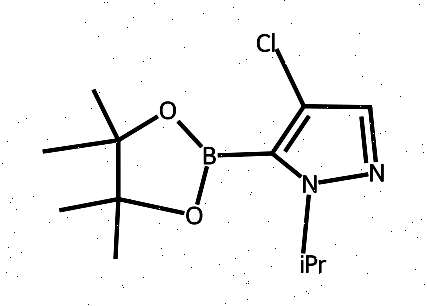 CC(C)n1ncc(Cl)c1B1OC(C)(C)C(C)(C)O1